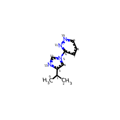 CC(C)c1cn(-c2cccnn2)cn1